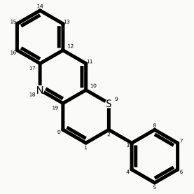 C1=CC(c2ccccc2)Sc2cc3ccccc3nc21